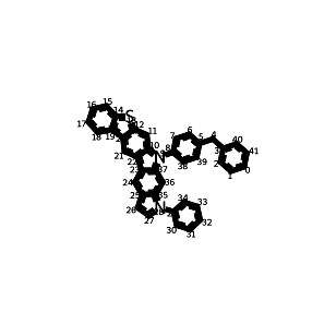 c1ccc(Cc2ccc(-n3c4cc5sc6ccccc6c5cc4c4cc5ccn(-c6ccccc6)c5cc43)cc2)cc1